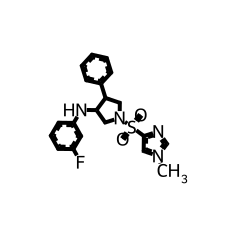 Cn1cnc(S(=O)(=O)N2CC(Nc3cccc(F)c3)C(c3ccccc3)C2)c1